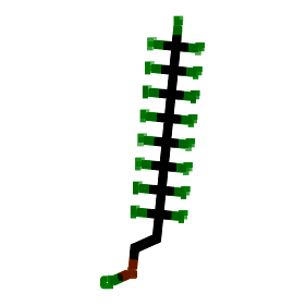 FC(F)(F)C(F)(F)C(F)(F)C(F)(F)C(F)(F)C(F)(F)C(F)(F)C(F)(F)CCSCl